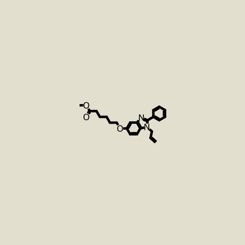 C=CCn1c(-c2ccccc2)nc2cc(OCCCCCC(=O)OC)ccc21